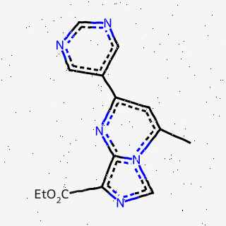 CCOC(=O)c1ncn2c(C)cc(-c3cncnc3)nc12